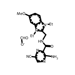 CCn1c(CNC(=O)c2nc(C#N)cnc2N)[n+](CC)c2ccc(OC)cc21.O=C[O-]